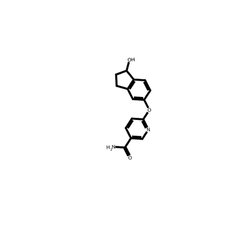 NC(=O)c1ccc(Oc2ccc3c(c2)CCC3O)nc1